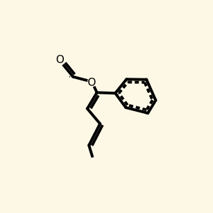 C/C=C/C=C(/O[C]=O)c1ccccc1